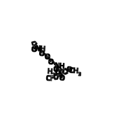 COc1ccc2c(c1)c(CC(=O)NCCOCCOCCOCCNC(=O)C1CCCC1)c(C)n2C(=O)c1ccc(Cl)cc1